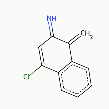 C=C1C(=N)C=C(Cl)c2ccccc21